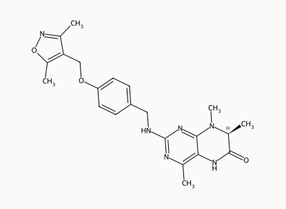 Cc1noc(C)c1COc1ccc(CNc2nc(C)c3c(n2)N(C)[C@@H](C)C(=O)N3)cc1